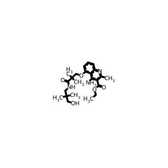 CCOC(=O)c1c(C)nc2cccc(OCC(C)(C)C(=O)NCC(C)(C)CO)c2c1N